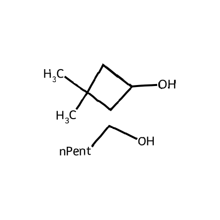 CC1(C)CC(O)C1.CCCCCCO